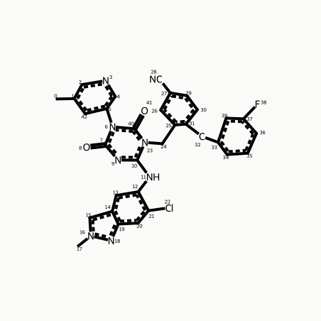 Cc1cncc(-n2c(=O)nc(Nc3cc4cn(C)nc4cc3Cl)n(Cc3cc(C#N)ccc3Cc3cccc(F)c3)c2=O)c1